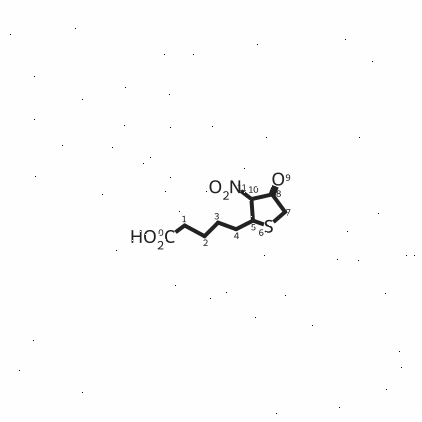 O=C(O)CCCCC1SCC(=O)C1[N+](=O)[O-]